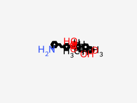 C[C@]12C=CC(=O)C=C1CC[C@@H]1[C@@H]2[C@@H](O)C[C@@]2(C)[C@H]1C[C@H]1O[C@@H](c3ccc(CCc4cccc(N)c4)cc3)O[C@]12C(=O)CO